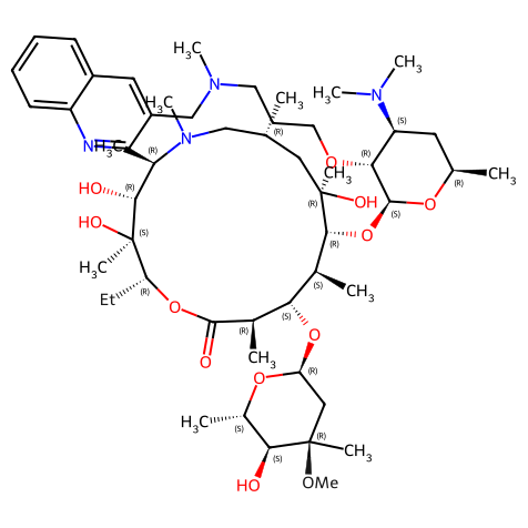 CC[C@H]1OC(=O)[C@H](C)[C@@H](O[C@H]2C[C@@](C)(OC)[C@@H](O)[C@H](C)O2)[C@H](C)[C@@H](O[C@@H]2O[C@H](C)C[C@H](N(C)C)[C@H]2OCCCN(C)Cc2cnc3ccccc3c2)[C@](C)(O)C[C@@H](C)CN(C)[C@H](C)[C@@H](O)[C@]1(C)O